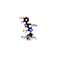 COCc1c(-c2cccc(O)c2Cl)noc1-c1cnn([C@H]2C[C@](C)(O[Si](C)(C)C(C)(C)C)C2)c1C(F)(F)F